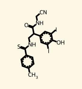 Cc1ccc(C(=S)NCC(C(=O)NCC#N)c2cc(I)c(O)c(I)c2)cc1